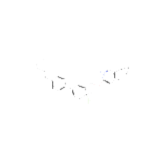 CC(C)CCCc1ccc(C2=C(C(F)(F)F)CC(C)(F)C(COc3cc4c(cn3)C3CC3C4)=C2)cc1F